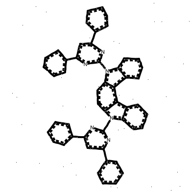 c1ccc(-c2cc(-c3ccccc3)nc(-n3c4ccccc4c4c5c6ccccc6n(-c6nc(-c7ccccc7)cc(-c7ccccc7)n6)c5ccc43)n2)cc1